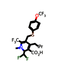 CC(C)CC1=C(C(=O)O)C(C(F)F)N(C)C(C(F)(F)F)=C1CSc1ccc(OC(F)(F)F)cc1